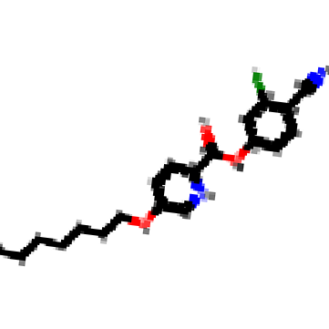 CCCCCCCOc1ccc(C(=O)Oc2ccc(C#N)c(F)c2)nc1